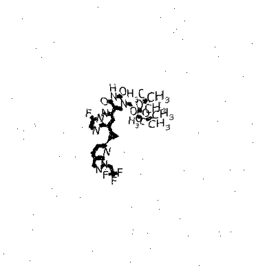 CC(C)(C)OP(=O)(OCn1cc(-c2cc(C3C[C@H]3c3ccc4cnn(CC(F)(F)F)c4n3)c3ncc(F)n3n2)c(=O)[nH]c1=O)OC(C)(C)C